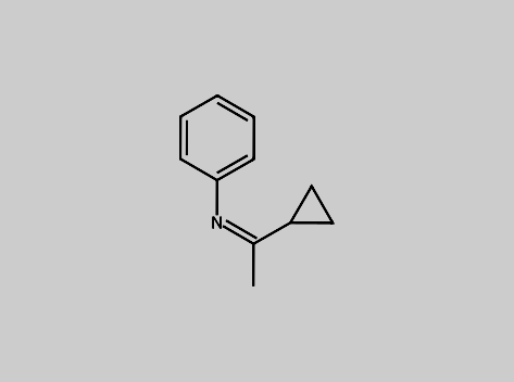 C/C(=N/c1ccccc1)C1CC1